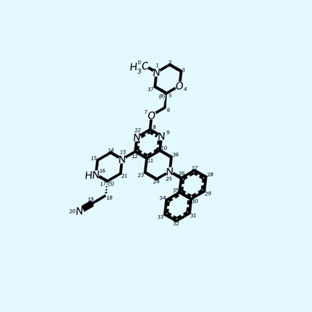 CN1CCO[C@@H](COc2nc3c(c(N4CCN[C@@H](CC#N)C4)n2)CCN(c2cccc4ccccc24)C3)C1